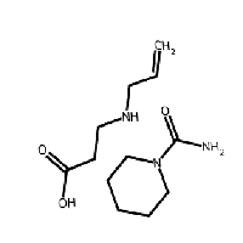 C=CCNCCC(=O)O.NC(=O)N1CCCCC1